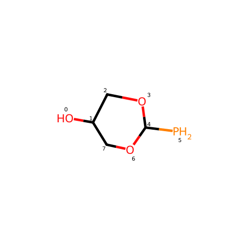 OC1COC(P)OC1